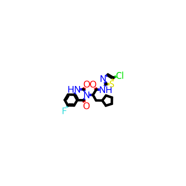 O=C(Nc1ncc(Cl)s1)C(CC1CCCC1)n1c(=O)[nH]c2ccc(F)cc2c1=O